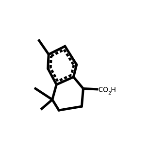 Cc1ccc2c(c1)C(C)(C)CCC2C(=O)O